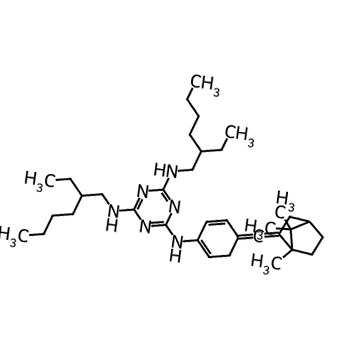 CCCCC(CC)CNc1nc(NCC(CC)CCCC)nc(NC2=CCC(=C=C3CC4CCC3(C)C4(C)C)C=C2)n1